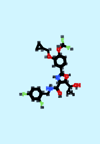 C[C@H](O)c1oc(-c2ccc(OC(F)F)c(OCC3CC3)c2)nc1C(=O)NCc1ccc(F)cc1F